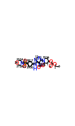 CCOC(=O)OC1CCN(c2ncnc(Nc3ccc(S(=O)(=O)N4CCOCC4)cc3)c2[N+](=O)[O-])CC1